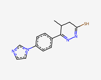 CC1CC(S)=NN=C1c1ccc(-n2ccnc2)cc1